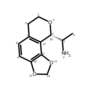 CC(N)[C@H]1OCCc2ccc3c(c21)OCO3